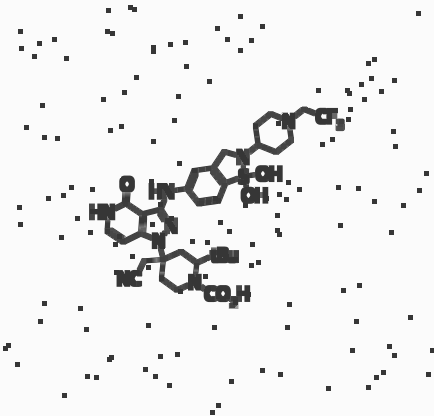 CC(C)(C)C1CC(CC#N)(n2nc(Nc3ccc4c(c3)CN(C3CCN(CC(F)(F)F)CC3)S4(O)O)c3c(=O)[nH]ccc32)CCN1C(=O)O